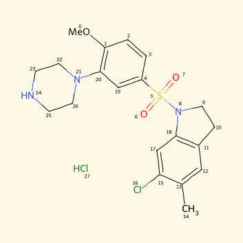 COc1ccc(S(=O)(=O)N2CCc3cc(C)c(Cl)cc32)cc1N1CCNCC1.Cl